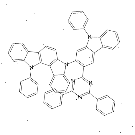 c1ccc(-c2nc(-c3ccccc3)nc(-c3cc4c5ccccc5n(-c5ccccc5)c4cc3-n3c4ccccc4c4c3ccc3c5ccccc5n(-c5ccccc5)c34)n2)cc1